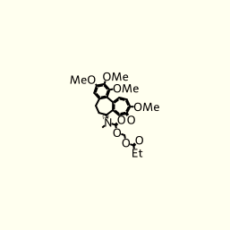 CCC(=O)OCOC(=O)N(C)[C@H]1CCc2cc(OC)c(OC)c(OC)c2-c2ccc(OC)c(=O)cc21